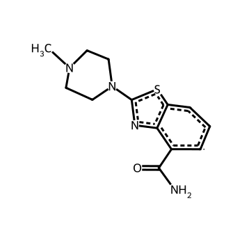 CN1CCN(c2nc3c(C(N)=O)[c]ccc3s2)CC1